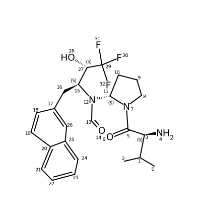 CC(C)[C@H](N)C(=O)N1CCC[C@H]1N(C=O)[C@@H](Cc1ccc2ccccc2c1)[C@H](O)C(F)(F)F